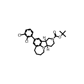 CC(C)(C)OC(=O)N1CC[C@H]2[C@@H](C1)c1cc(-c3cccc(Cl)c3Cl)cc3c1N2CCCC3